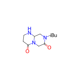 CCC(C)N1CC2NCCC(=O)N2CC1=O